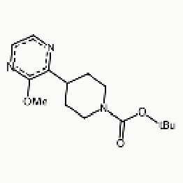 COc1nccnc1C1CCN(C(=O)OC(C)(C)C)CC1